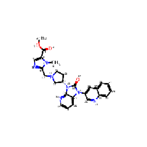 Cn1c(C(=O)OC(C)(C)C)cnc1CN1CC[C@H](n2c(=O)n(-c3cnc4ccccc4c3)c3cccnc32)C1